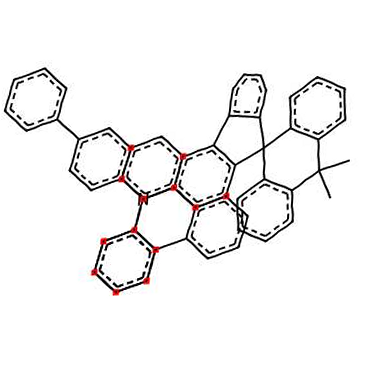 CC1(C)c2ccccc2C2(c3ccccc3-c3cc(N(c4ccc(-c5ccccc5)cc4)c4ccccc4-c4ccccc4-c4ccccc4-c4ccccc4)ccc32)c2ccccc21